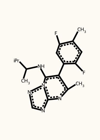 Cc1cc(F)c(-c2c(C)nc3ncnn3c2NC(C)C(C)C)cc1F